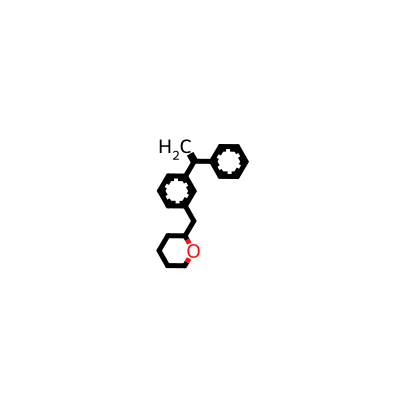 C=C(c1ccccc1)c1cccc(CC2CCCCO2)c1